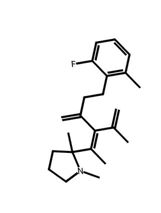 C=C(C)/C(C(=C)CCc1c(C)cccc1F)=C(\C)C1(C)CCCN1C